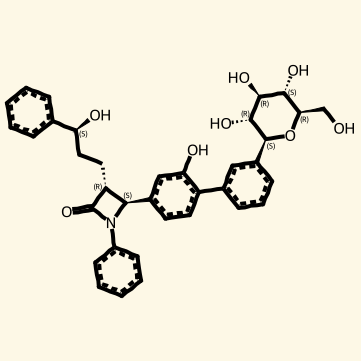 O=C1[C@H](CC[C@H](O)c2ccccc2)[C@@H](c2ccc(-c3cccc([C@@H]4O[C@H](CO)[C@@H](O)[C@H](O)[C@H]4O)c3)c(O)c2)N1c1ccccc1